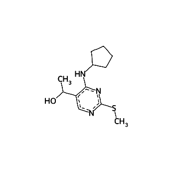 CSc1ncc(C(C)O)c(NC2CCCC2)n1